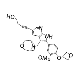 COc1cc(-c2[nH]c3ncc(C#CCCO)cc3c2CN2C3CCC2COC3)ccc1OC1COC1